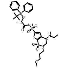 CCN[C@H]1CN(CCCOC)S(=O)(=O)c2sc(S(=O)(=O)NC(=O)[C@H](C)O[Si](c3ccccc3)(c3ccccc3)C(C)(C)C)cc21